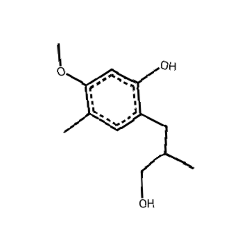 COc1cc(O)c(CC(C)CO)cc1C